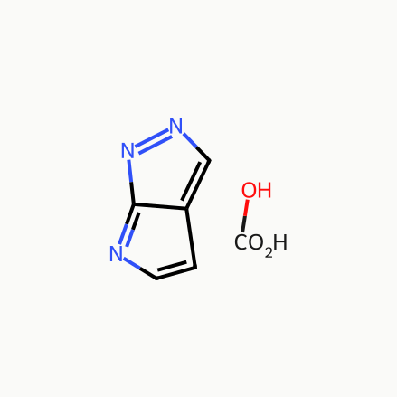 C1=CC2=CN=NC2=N1.O=C(O)O